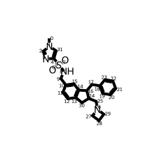 Cn1cnc(S(=O)(=O)NCc2ccc3c(c2)C(Cc2ccccc2)C(CN2CCC2)C3)c1